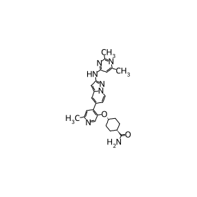 Cc1cc(-c2ccn3nc(Nc4cc(C)nc(C)n4)cc3c2)c(O[C@H]2CC[C@H](C(N)=O)CC2)cn1